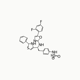 O=[SH](=O)Nc1ccc(C[C@H](Nc2ncc(-c3ccc(F)cc3F)o2)C2=CSC(c3ccccc3)N2)cc1